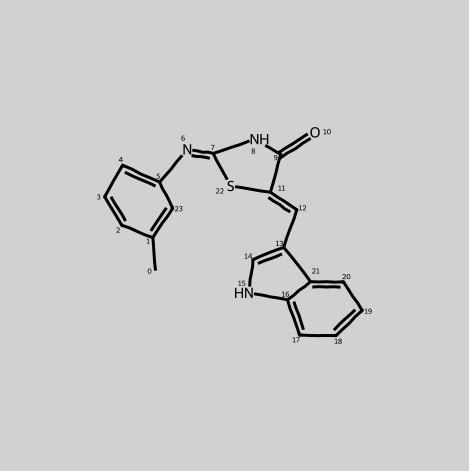 Cc1cccc(/N=C2/NC(=O)/C(=C/c3c[nH]c4ccccc34)S2)c1